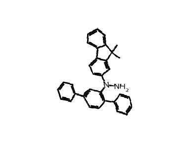 CC1(C)c2ccccc2-c2ccc(N(N)c3cc(-c4ccccc4)ccc3-c3ccccc3)cc21